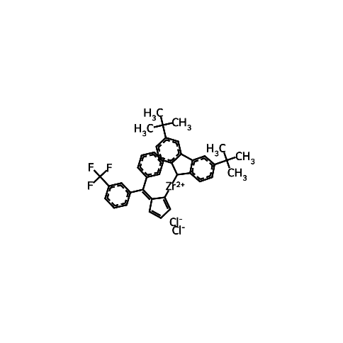 CC(C)(C)c1ccc2c(c1)-c1cc(C(C)(C)C)ccc1[CH]2[Zr+2][C]1=CC=CC1=C(c1ccccc1)c1cccc(C(F)(F)F)c1.[Cl-].[Cl-]